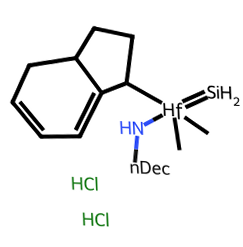 CCCCCCCCCC[NH][Hf]([CH3])([CH3])(=[SiH2])[CH]1CCC2CC=CC=C21.Cl.Cl